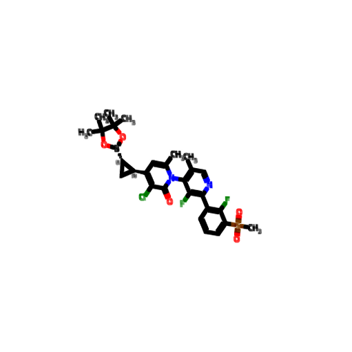 Cc1cnc(-c2cccc(S(C)(=O)=O)c2F)c(F)c1-n1c(C)cc([C@H]2C[C@@H]2B2OC(C)(C)C(C)(C)O2)c(Cl)c1=O